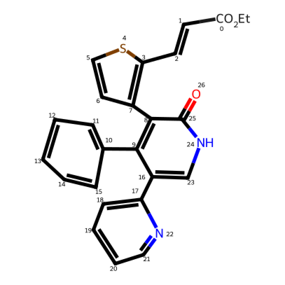 CCOC(=O)C=Cc1sccc1-c1c(-c2ccccc2)c(-c2ccccn2)c[nH]c1=O